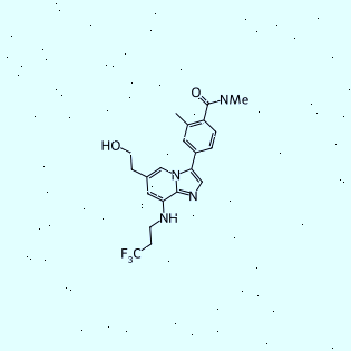 CNC(=O)c1ccc(-c2cnc3c(NCCC(F)(F)F)cc(CCO)cn23)cc1C